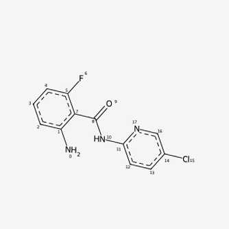 Nc1cccc(F)c1C(=O)Nc1ccc(Cl)cn1